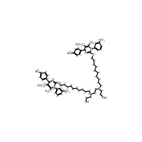 CCOC(=O)C1=C(C)N(c2cccc(C(F)(F)F)c2)C(SCCCCCCCCCCN(CCO)CCN(CCO)CCCCCCCCCCSC2=NC(c3ccc(C#N)cc3)C(C(=O)OCC)=C(C)N2c2cccc(C(F)(F)F)c2)=NC1c1ccc(C#N)cc1